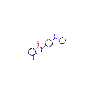 O=C(Nc1ccc(NC2CCCC2)cc1)c1ccc[nH]c1=S